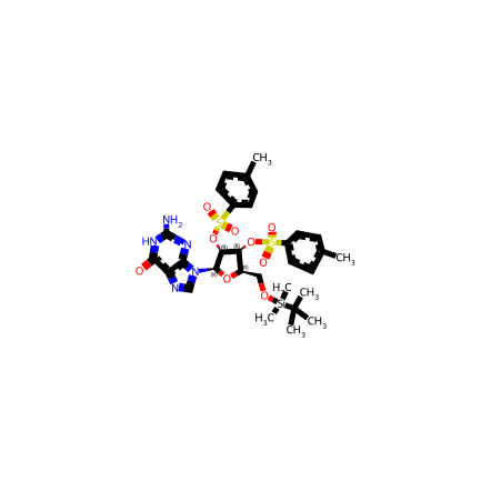 Cc1ccc(S(=O)(=O)O[C@@H]2[C@H](OS(=O)(=O)c3ccc(C)cc3)[C@@H](CO[Si](C)(C)C(C)(C)C)O[C@H]2n2cnc3c(=O)[nH]c(N)nc32)cc1